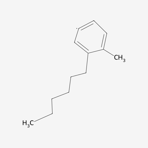 CCCCCCc1c[c]ccc1C